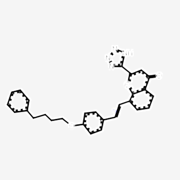 O=c1cc(-c2nnn[nH]2)oc2c(/C=C/c3ccc(OCCCCc4ccccc4)cc3)cccc12